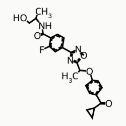 CC(CO)NC(=O)c1ccc(-c2noc(C(C)Oc3ccc(C(=O)C4CC4)cc3)n2)cc1F